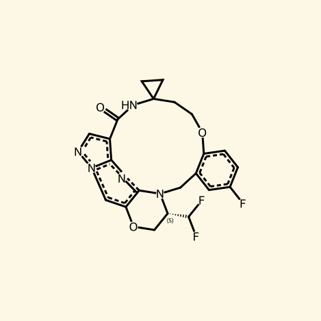 O=C1NC2(CCOc3ccc(F)cc3CN3c4nc5c1cnn5cc4OC[C@H]3C(F)F)CC2